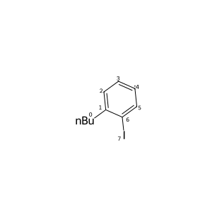 CCCCc1cc[c]cc1I